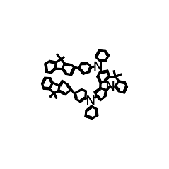 CC1(C)c2ccccc2-c2ccc(C3=CC=C(N(c4ccccc4)c4ccc5c(c4)c4cc(N(c6ccccc6)c6ccc(-c7ccc8c(c7)C(C)(C)c7ccccc7-8)cc6)cc6c4n5-c4ccccc4C6(C)C)CC3)cc21